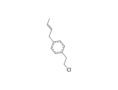 CC=CCc1ccc(CCCl)cc1